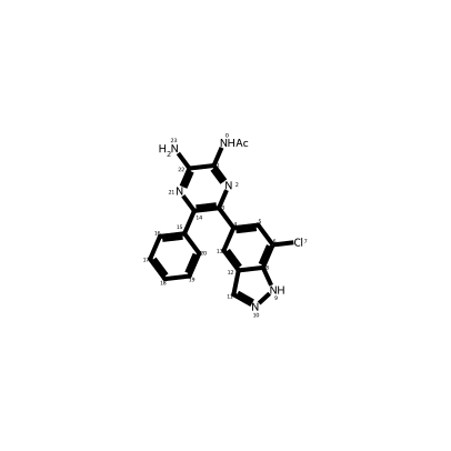 CC(=O)Nc1nc(-c2cc(Cl)c3[nH]ncc3c2)c(-c2ccccc2)nc1N